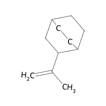 C=C(C)C1CC2CCC1CC2